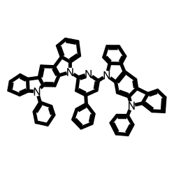 C1=CC(n2c3ccccc3c3cc4c5ccccc5n(-c5cc(-c6ccccc6)cc(-n6c7ccccc7c7cc8c9ccccc9n(-c9ccccc9)c8cc76)n5)c4cc32)=CCC1